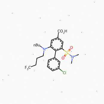 CCCCN(CCCC(F)(F)F)c1cc(C(=O)O)cc(S(=O)(=O)N(C)C)c1-c1cccc(Cl)c1